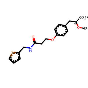 CCO[C@@H](Cc1ccc(OCCC(=O)NCc2cccs2)cc1)C(=O)O